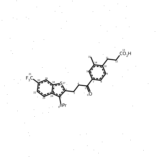 CCCc1c(CCC(=O)c2ccc(CCC(=O)O)c(C)c2)sc2cc(C(F)(F)F)ccc12